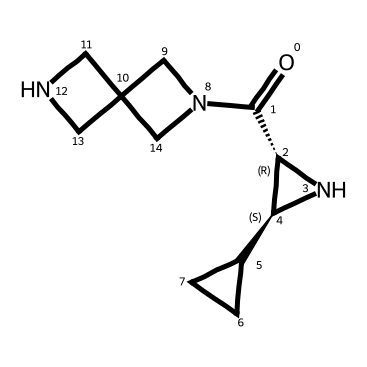 O=C([C@@H]1N[C@H]1C1CC1)N1CC2(CNC2)C1